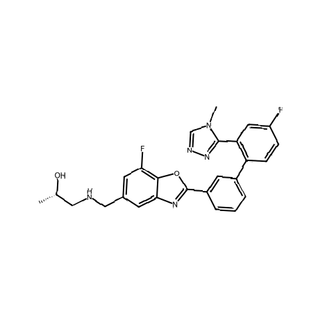 C[C@H](O)CNCc1cc(F)c2oc(-c3cccc(-c4ccc(F)cc4-c4nncn4C)c3)nc2c1